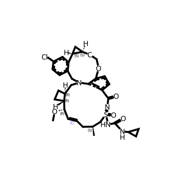 CO[C@H]1/C=C/C[C@H](C)CS(=O)(NC(=O)NC2CC2)=NC(=O)c2ccc3c(c2)N(Cc2ccc(Cl)cc2[C@H]2C[C@H]2CCO3)C[C@@H]2CC[C@H]21